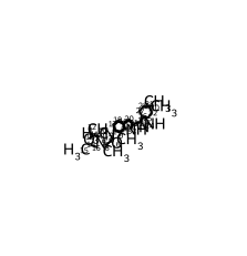 Cc1c(N(C)C(=O)[C@H](C)N2CC(C)OC(C)C2)ccc2cc(-c3n[nH]c4c3CCC(C)(C)C4)[nH]c12